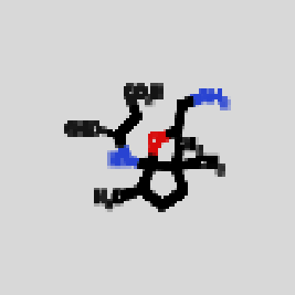 CC1CCC(C)(C)C1(N[C@H](C=O)CC(=O)O)OCCN